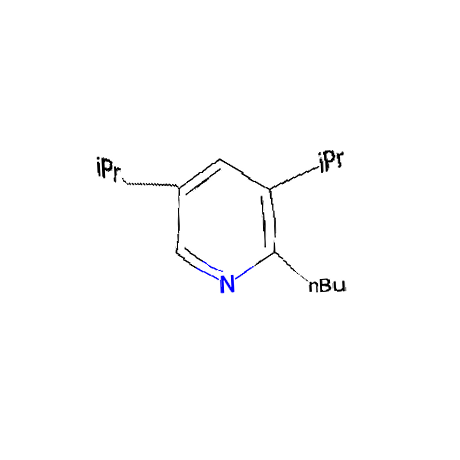 CCCCc1ncc(C(C)C)cc1C(C)C